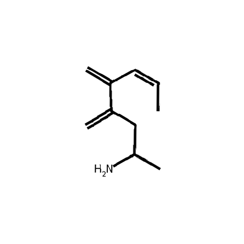 C=C(/C=C\C)C(=C)CC(C)N